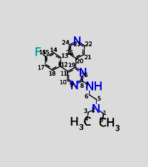 CCN(CC)CCNc1ncc(-c2ccc(F)cc2)c(-c2ccncc2)n1